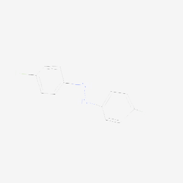 Fc1ccc(NNc2ccc(Cl)cc2)cc1